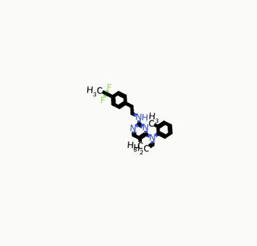 C=CN(c1ccccc1C)c1nc(NCCc2ccc(C(C)(F)F)cc2)ncc1C